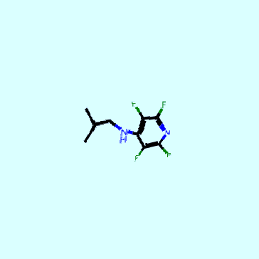 CC(C)CNc1c(F)c(F)nc(F)c1F